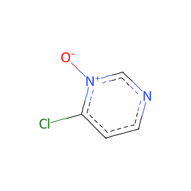 [O-][n+]1cnccc1Cl